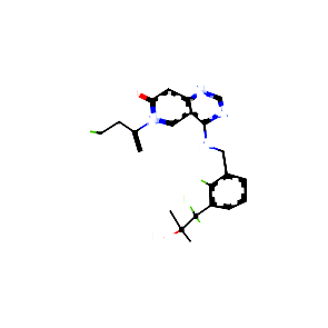 C=C(CCF)n1cc2c(N[C@H](C)c3cccc(C(F)(F)C(C)(C)O)c3F)ncnc2cc1=O